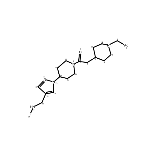 CC(=O)CN1CCC(CC(=O)N2CCC(n3cc(CNI)cn3)CC2)CC1